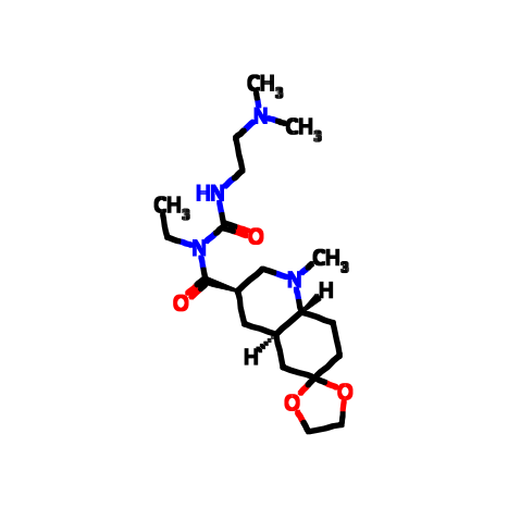 CCN(C(=O)NCCN(C)C)C(=O)[C@@H]1C[C@@H]2CC3(CC[C@H]2N(C)C1)OCCO3